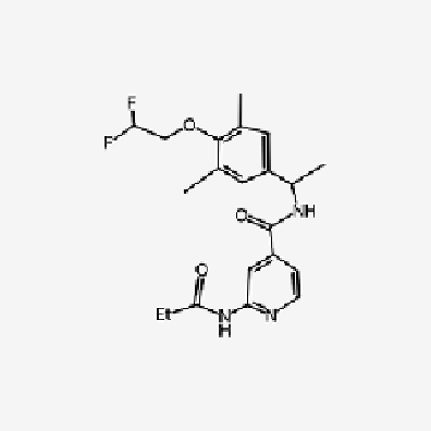 CCC(=O)Nc1cc(C(=O)NC(C)c2cc(C)c(OCC(F)F)c(C)c2)ccn1